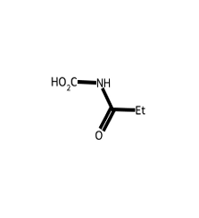 [CH2]CC(=O)NC(=O)O